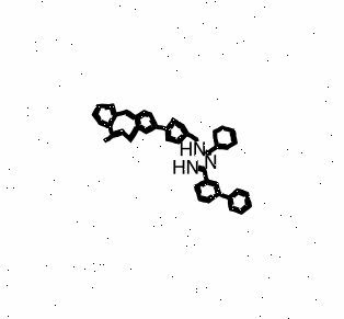 C\C1=C/C=c2/cc(-c3ccc(CN/C(=N\C(=N)c4cccc(-c5ccccc5)c4)C4=CC=CCC4)cc3)cc/c2=C/c2ccccc21